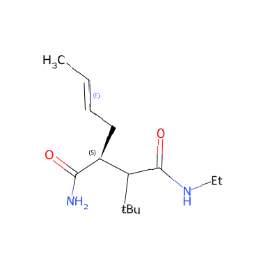 C/C=C/C[C@H](C(N)=O)C(C(=O)NCC)C(C)(C)C